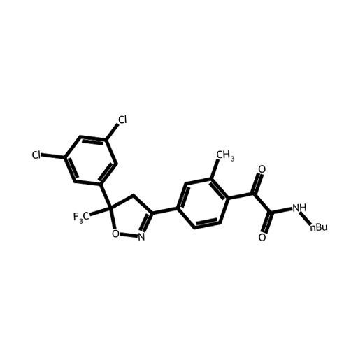 CCCCNC(=O)C(=O)c1ccc(C2=NOC(c3cc(Cl)cc(Cl)c3)(C(F)(F)F)C2)cc1C